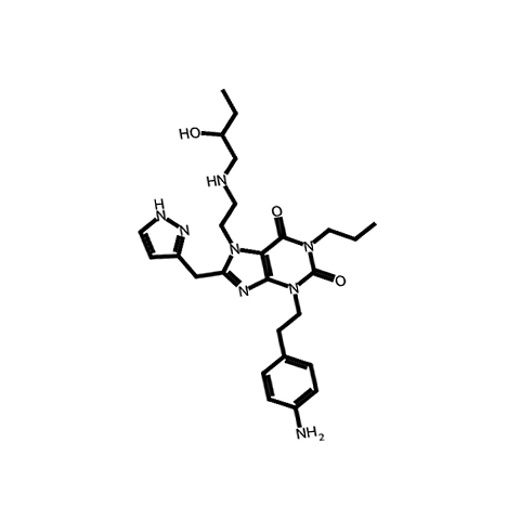 CCCn1c(=O)c2c(nc(Cc3cc[nH]n3)n2CCNCC(O)CC)n(CCc2ccc(N)cc2)c1=O